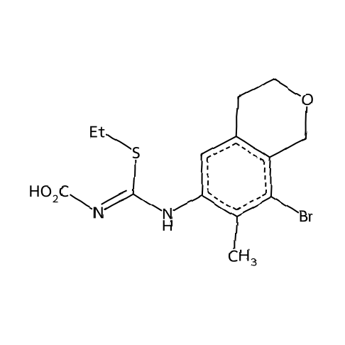 CCS/C(=N\C(=O)O)Nc1cc2c(c(Br)c1C)COCC2